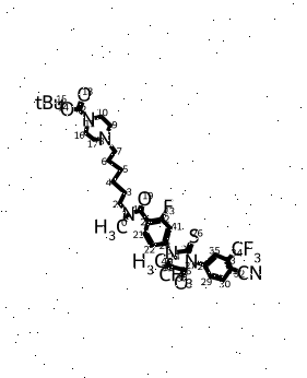 CN(CCCCCCN1CCN(C(=O)OC(C)(C)C)CC1)C(=O)c1ccc(N2C(=S)N(c3ccc(C#N)c(C(F)(F)F)c3)C(=O)C2(C)C)cc1F